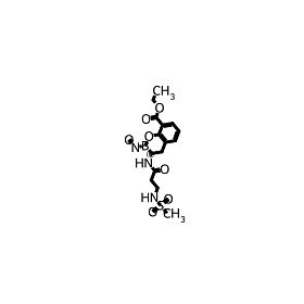 CCOC(=O)c1cccc2c1OB(N=O)[C@@H](NC(=O)CCNS(C)(=O)=O)C2